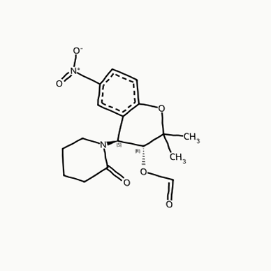 CC1(C)Oc2ccc([N+](=O)[O-])cc2[C@H](N2CCCCC2=O)[C@H]1OC=O